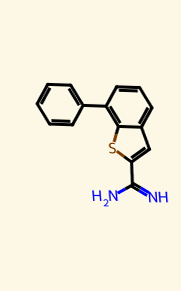 N=C(N)c1cc2cccc(-c3ccccc3)c2s1